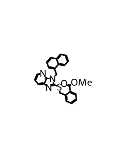 COC(=O)c1ccccc1CSc1nc2cccnc2n1Cc1cccc2ccccc12